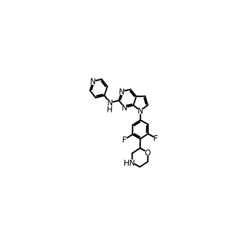 Fc1cc(-n2ccc3cnc(Nc4ccncc4)nc32)cc(F)c1C1CNCCO1